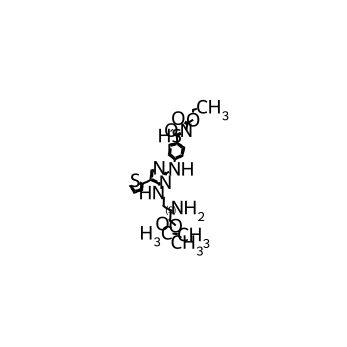 CCOC(=O)N=[SH](=O)c1ccc(Nc2ncc(-c3cccs3)c(NCC[C@H](N)C(=O)OC(C)(C)C)n2)cc1